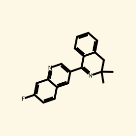 CC1(C)Cc2ccccc2C(c2cnc3cc(F)ccc3c2)=N1